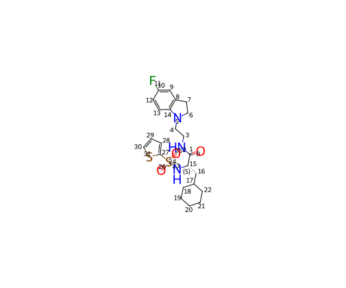 O=C(NCCN1CCc2cc(F)ccc21)[C@H](CC1CCCCC1)NS(=O)(=O)c1cccs1